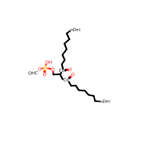 CCCCCCCCCCCCCCCC[CH2][Co](=[O])[CH2][CH](COP(=O)(O)OC=O)[Co](=[O])[CH2]CCCCCCCCCCCCCCCC